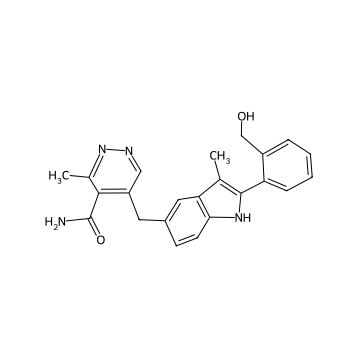 Cc1nncc(Cc2ccc3[nH]c(-c4ccccc4CO)c(C)c3c2)c1C(N)=O